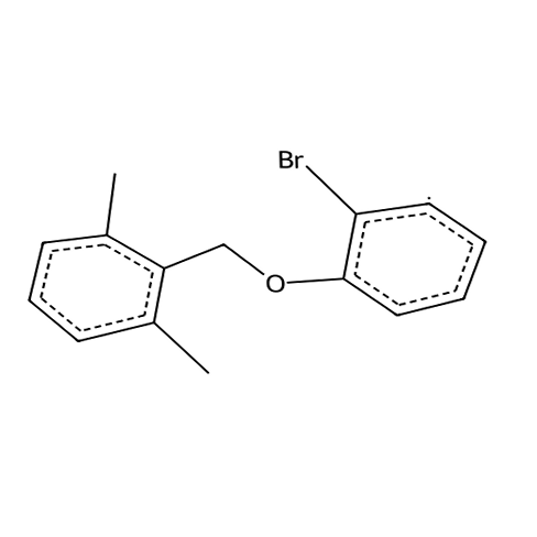 Cc1cccc(C)c1COc1ccc[c]c1Br